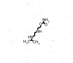 CC(C)NCCNCCOC(N)=O